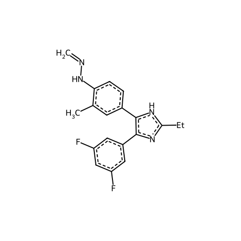 C=NNc1ccc(-c2[nH]c(CC)nc2-c2cc(F)cc(F)c2)cc1C